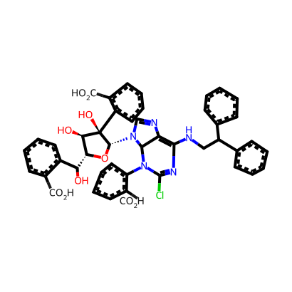 O=C(O)c1ccccc1C(O)[C@H]1O[C@@H](N2C=NC3=C(NCC(c4ccccc4)c4ccccc4)N=C(Cl)N(c4ccccc4C(=O)O)C32)[C@@](O)(c2ccccc2C(=O)O)[C@@H]1O